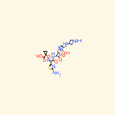 Nc1nc(/C(=N/OC2(C(=O)O)CC2)C(=O)NC2C(=O)N(S(=O)(=O)O)[C@H]2Cn2ncc(CNC3CNC3)n2)cs1